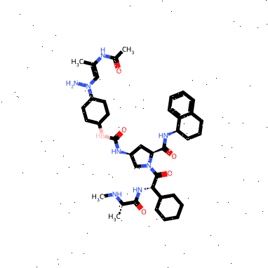 CN[C@@H](C)C(=O)N[C@H](C(=O)N1C[C@@H](NC(=O)BC2CCC(N(N)/C=C(\C)NC(C)=O)CC2)C[C@H]1C(=O)N[C@@H]1CCCc2ccccc21)C1CCCCC1